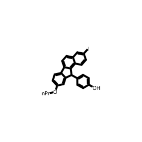 CCCOc1ccc2c(c1)C(c1ccc(O)cc1)c1c-2ccc2cc(I)ccc12